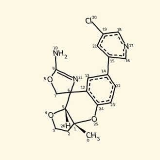 C[C@@]12CCO[C@@H]1C1(COC(N)=N1)c1cc(-c3cncc(Cl)c3)ccc1O2